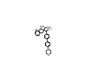 CCC(Cc1ccccc1)(C(=O)c1ccc(-c2ccc(N3CCOCC3)cc2)cc1)N(C)C